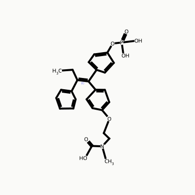 CC/C(=C(/c1ccc(OCCN(C)C(=O)O)cc1)c1ccc(OP(=O)(O)O)cc1)c1ccccc1